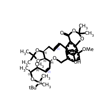 COc1ccc(CO[C@H](/C=C\[C@@H](C)[C@H](C)O[Si](C)(C)C(C)(C)C)[C@H]2OC(C)(C)O[C@H]2C/C=C/c2cc(O)cc3c2C(=O)OC(C)(C)O3)cc1